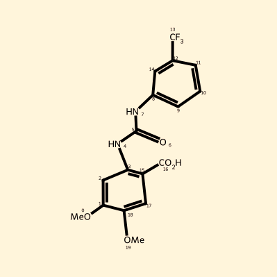 COc1cc(NC(=O)Nc2cccc(C(F)(F)F)c2)c(C(=O)O)cc1OC